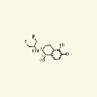 Oc1ccc2c(c1O)CC[C@@H](NC(CF)CF)[C@@H]2O